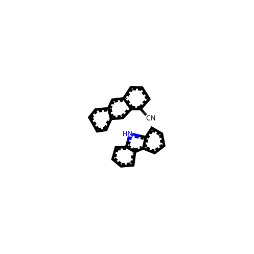 N#Cc1cccc2cc3ccccc3cc12.c1ccc2c(c1)[nH]c1ccccc12